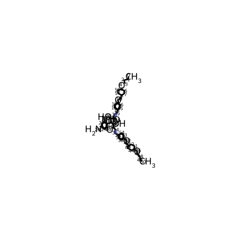 CCCCOC1CCC(COc2ccc(/C=C/C(=O)C(O)C(c3ccc(N)cc3N)C(O)C(=O)/C=C/c3ccc(OCC4CCC(OCCCC)CC4)cc3)cc2)CC1